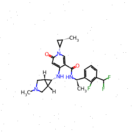 C[C@@H](NC(=O)c1cn([C@@H]2C[C@@H]2C)c(=O)cc1N[C@@H]1[C@@H]2CN(C)C[C@@H]21)c1cccc(C(F)F)c1F